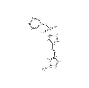 O=S(=O)(Cc1ccccc1)n1ccc(/C=C/c2noc(C(F)(F)F)n2)c1